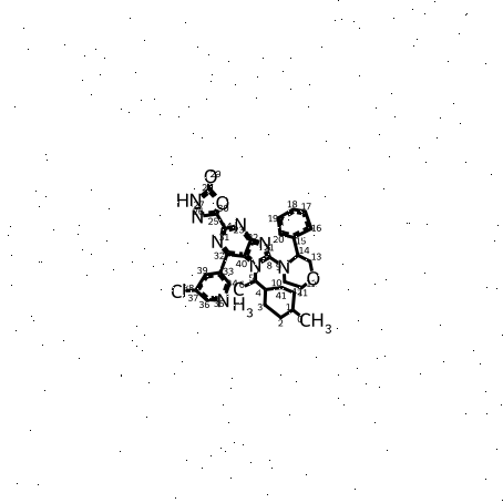 CC1CCC(C(C)n2c(N3CCOCC3c3ccccc3)nc3nc(-c4n[nH]c(=O)o4)nc(-c4cncc(Cl)c4)c32)CC1